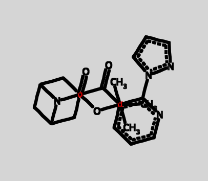 CC(C)(C)OC(=O)N1C2CC1CN(C(=O)c1cccnc1-n1cccn1)C2